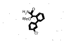 COC(C(N)=O)c1ccccc1-c1cccc(Cl)c1